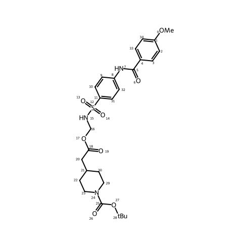 COc1ccc(C(=O)Nc2ccc(S(=O)(=O)NCOC(=O)CC3CCN(C(=O)OC(C)(C)C)CC3)cc2)cc1